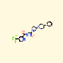 O=C(NCC(=O)N1CCC(N2CCC(c3ccccc3)CC2)C1)c1cc(C(F)(F)F)ccn1